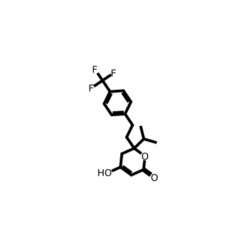 CC(C)C1(CCc2ccc(C(F)(F)F)cc2)CC(O)=CC(=O)O1